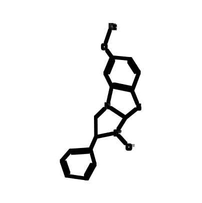 CCOc1ccc2c(c1)N1CC(c3ccccc3)[S+]([O-])C1S2